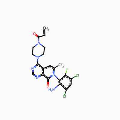 C=CC(=O)N1CCN(c2ncnc3c(=O)n(-c4c(N)c(Cl)cc(Cl)c4F)c(C(F)(F)F)cc23)CC1